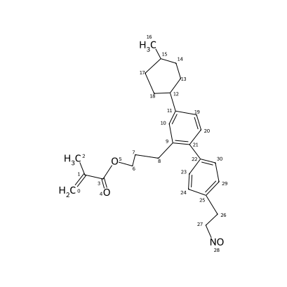 C=C(C)C(=O)OCCCc1cc(C2CCC(C)CC2)ccc1-c1ccc(CCN=O)cc1